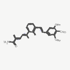 COc1cc(/C=C/c2cccc(/C(C)=C/C=C(\C)C(N)=O)c2C)cc(OC)c1C=O